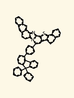 c1ccc(C2(c3ccccc3)c3ccccc3-c3c(-c4ccc(-c5cc6c7ccc8ccccc8c7sc6c6nc7c8cc9ccccc9cc8ccc7n56)cc4)cccc32)cc1